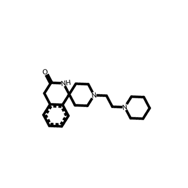 O=C1Cc2ccccc2C2(CCN(CCN3CCCCC3)CC2)N1